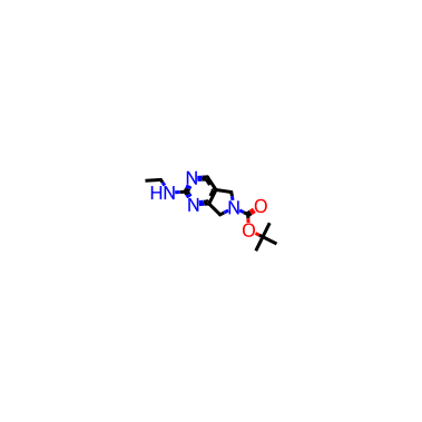 CCNc1ncc2c(n1)CN(C(=O)OC(C)(C)C)C2